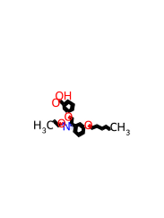 CCCCCCOc1cccc(/C(COc2cccc(C(=O)O)c2)=N/OCCC)c1